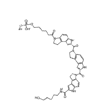 CC(C)OP(=O)(O)OCCCCCC(=O)N1CCc2c1ccc1[nH]c(C(=O)N3CCc4c3ccc3[nH]c(C(=O)N5CCc6c5ccc5[nH]c(C(=O)NCCCCCO)cc65)cc43)cc21